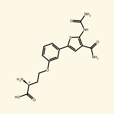 NC(=O)Nc1sc(-c2cccc(OCC[C@H](N)C(=O)O)c2)cc1C(N)=O